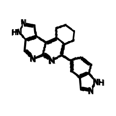 c1cc2[nH]ncc2cc1-c1nc2ncc3[nH]ncc3c2c2c1CCCC2